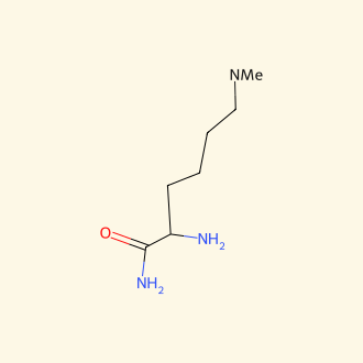 CNCCCCC(N)C(N)=O